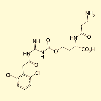 N=C(NC(=O)Cc1c(Cl)cccc1Cl)NC(=O)OCC[C@H](NC(=O)CCN)C(=O)O